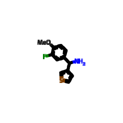 COc1ccc(C(N)c2ccsc2)cc1F